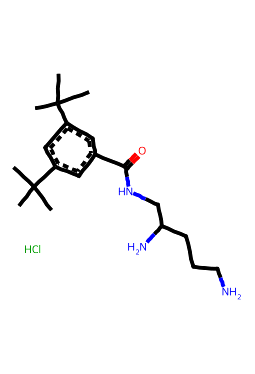 CC(C)(C)c1cc(C(=O)NCC(N)CCCN)cc(C(C)(C)C)c1.Cl